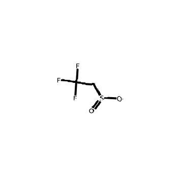 [O]S(=O)CC(F)(F)F